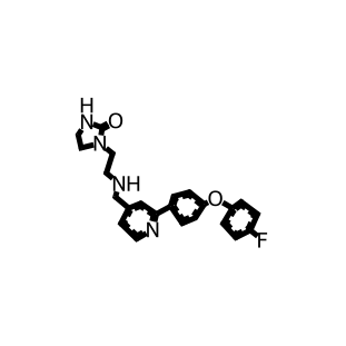 O=C1NCCN1CCNCc1ccnc(-c2ccc(Oc3ccc(F)cc3)cc2)c1